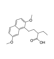 CCC(CCc1c(OC)ccc2ccc(OC)cc12)C(=O)O